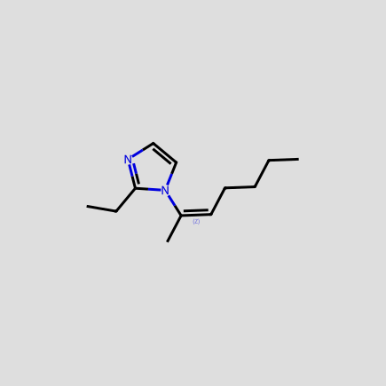 CCCC/C=C(/C)n1ccnc1CC